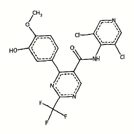 COc1ccc(-c2nc(C(F)(F)F)ncc2C(=O)Nc2c(Cl)cncc2Cl)cc1O